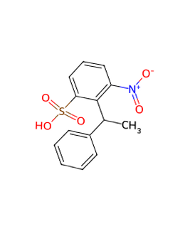 CC(c1ccccc1)c1c([N+](=O)[O-])cccc1S(=O)(=O)O